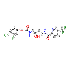 O=C(COc1ccc(Cl)c(F)c1)NC[C@@H](O)CCNC(=O)c1ccc(C(F)(F)F)cn1